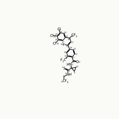 O=C(NC1(C(=S)NCC(F)(F)F)CC1)c1ccc(C(F)=CC(c2cc(Cl)c(Cl)c(Cl)c2)C(F)(F)F)cc1C(F)(F)F